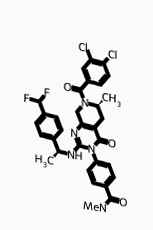 CNC(=O)c1ccc(-n2c(N[C@@H](C)c3ccc(C(F)F)cc3)nc3c(c2=O)C[C@@H](C)N(C(=O)c2ccc(Cl)c(Cl)c2)C3)cc1